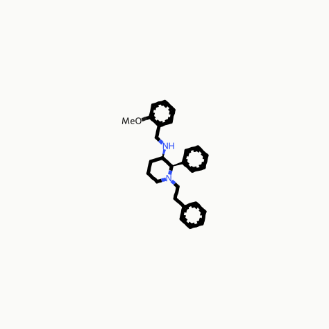 COc1ccccc1CN[C@@H]1CCCN(CCc2ccccc2)[C@@H]1c1ccccc1